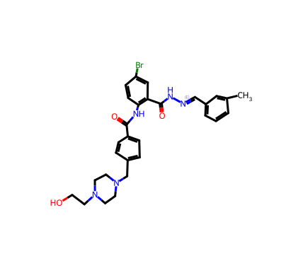 Cc1cccc(/C=N/NC(=O)c2cc(Br)ccc2NC(=O)c2ccc(CN3CCN(CCO)CC3)cc2)c1